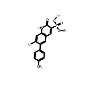 CCOP(=O)(OCC)c1cc2cc(-c3ccc(C(F)(F)F)cc3)c(Cl)cc2[nH]c1=O